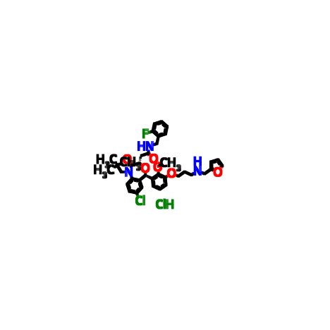 COc1c(OCCCNCc2ccco2)cccc1[C@@H]1O[C@@H](CC(=O)NCc2ccccc2F)C(=O)N(CC(C)(C)C)c2ccc(Cl)cc21.Cl